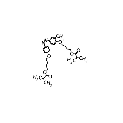 C=C(C)C(=O)OCCCCOc1ccc(/N=N\c2ccc(OCCCCOC(=O)C(=C)C)c(C)c2)cc1